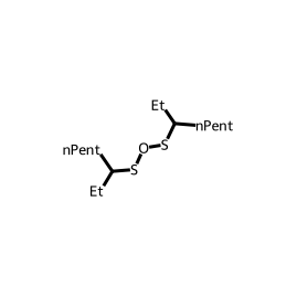 CCCCCC(CC)SOSC(CC)CCCCC